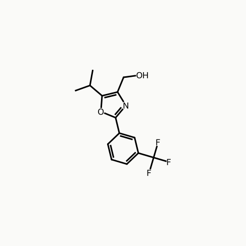 CC(C)c1oc(-c2cccc(C(F)(F)F)c2)nc1CO